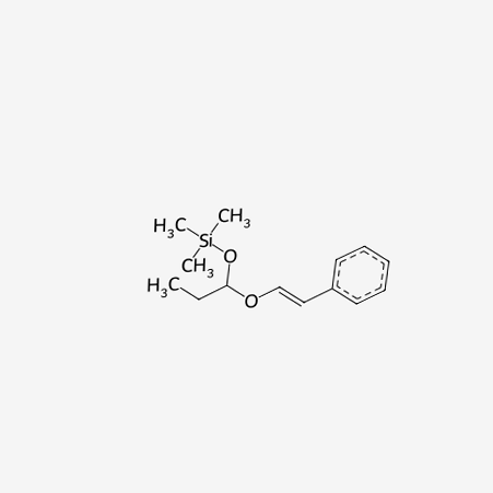 CCC(OC=Cc1ccccc1)O[Si](C)(C)C